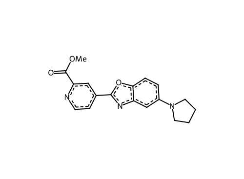 COC(=O)c1cc(-c2nc3cc(N4CCCC4)ccc3o2)ccn1